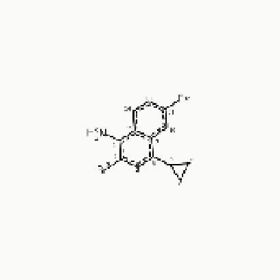 Nc1c(Br)cc(C2CC2)c2cc(F)ccc12